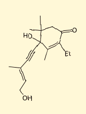 CCC1=C(C)C(O)(C#CC(C)=CCO)C(C)(C)CC1=O